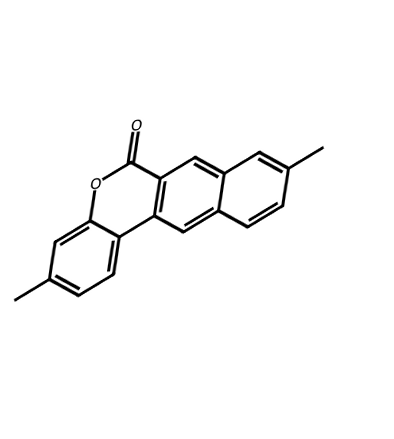 Cc1ccc2cc3c(cc2c1)c(=O)oc1cc(C)ccc13